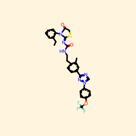 CCc1ccccc1N1C(=O)CSC1=NC(=O)NCCc1ccc(-c2ncn(-c3ccc(OC(F)(F)F)cc3)n2)cc1C